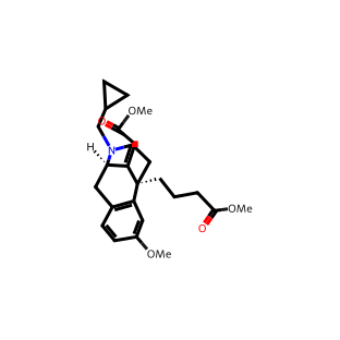 COC(=O)/C=C1\[C@H]2Cc3ccc(OC)cc3[C@]1(CCCC(=O)OC)CCN2CC1CC1